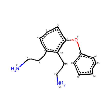 NCCc1cccc(Oc2ccccc2)c1CCN